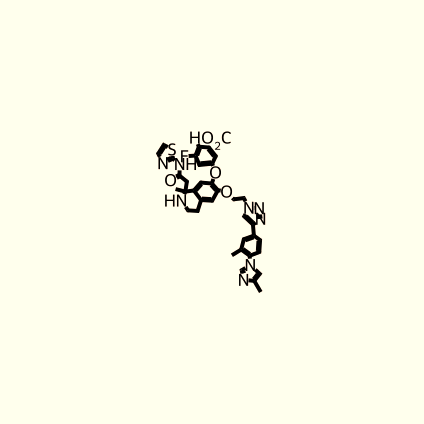 Cc1cn(-c2ccc(-c3cn(CCOc4cc5c(cc4Oc4ccc(C(=O)O)c(F)c4)C(C)(CC(=O)Nc4nccs4)NCC5)nn3)cc2C)cn1